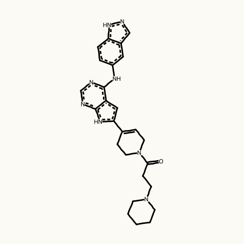 O=C(CCN1CCCCC1)N1CC=C(c2cc3c(Nc4ccc5[nH]ncc5c4)ncnc3[nH]2)CC1